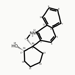 CNC[C@]1(c2ccc3ccccc3c2)CCCC[C@@H]1O